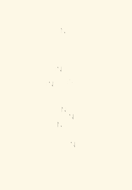 O=C(NCc1ccncc1)Nc1ccc2nc(-c3cccn3-c3ccccc3)nn2c1